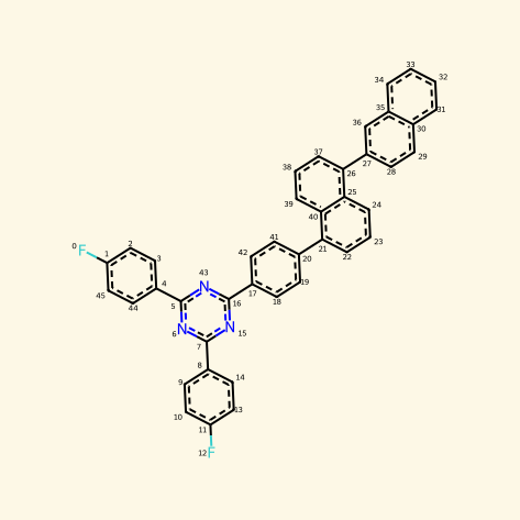 Fc1ccc(-c2nc(-c3ccc(F)cc3)nc(-c3ccc(-c4cccc5c(-c6ccc7ccccc7c6)cccc45)cc3)n2)cc1